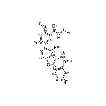 CCNC(=O)c1cc(-c2ccc3oc(-c4ccc(F)cc4)c(C(=O)NC)c3c2F)c(C)cc1OC